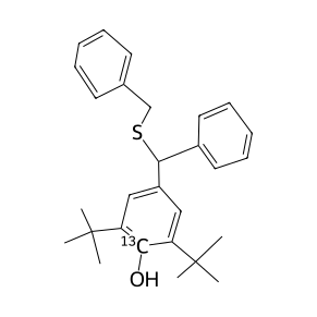 CC(C)(C)c1cc(C(SCc2ccccc2)c2ccccc2)cc(C(C)(C)C)[13c]1O